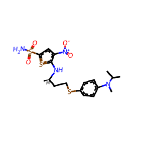 CC(C)N(C)c1ccc(SCC[C@@H](C)Nc2sc(S(N)(=O)=O)cc2[N+](=O)[O-])cc1